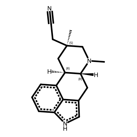 CN1C[C@](C)(CC#N)C[C@@H]2c3cccc4[nH]cc(c34)C[C@H]21